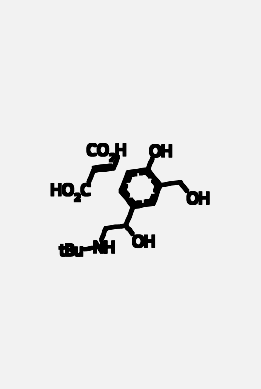 CC(C)(C)NCC(O)c1ccc(O)c(CO)c1.O=C(O)C=CC(=O)O